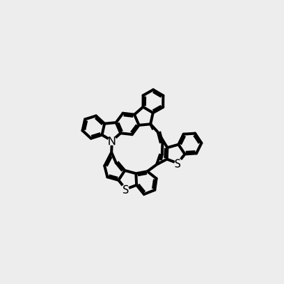 CC12c3ccccc3-c3cc4c5ccccc5n(c4cc31)-c1ccc3sc4cccc(c4c3c1)-c1ccc2c2c1sc1ccccc12